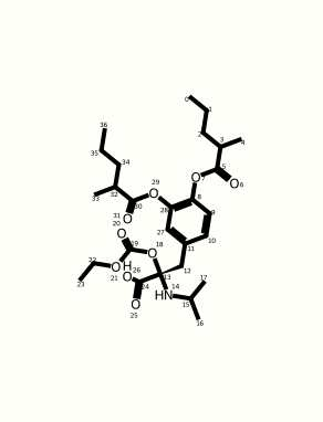 CCCC(C)C(=O)Oc1ccc(C[C@](NC(C)C)(OC(=O)OCC)C(=O)O)cc1OC(=O)C(C)CCC